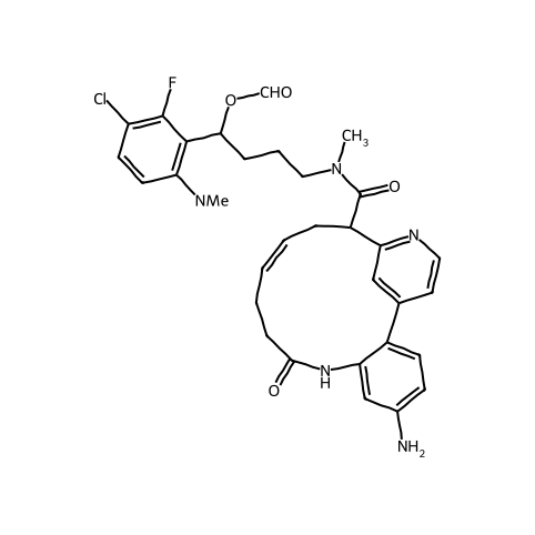 CNc1ccc(Cl)c(F)c1C(CCCN(C)C(=O)C1C/C=C\CCC(=O)Nc2cc(N)ccc2-c2ccnc1c2)OC=O